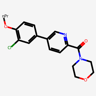 CCCOc1ccc(-c2ccc(C(=O)N3CCOCC3)nc2)cc1Cl